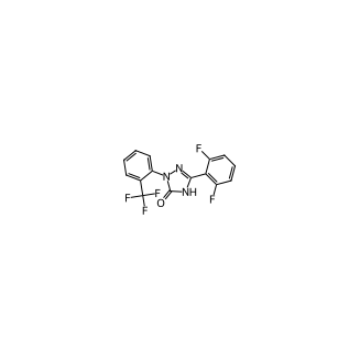 O=c1[nH]c(-c2c(F)cccc2F)nn1-c1ccccc1C(F)(F)F